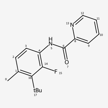 Cc1ccc(NC(=O)c2ccccn2)c(F)c1C(C)(C)C